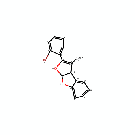 CSC1=C(c2ccccc2Br)OC2Oc3ccccc3C12